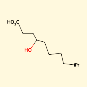 CC(C)CCCCC(O)CCC(=O)O